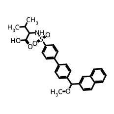 COC(c1ccc(-c2ccc(S(=O)(=O)NC(C(=O)O)C(C)C)cc2)cc1)c1ccc2ccccc2c1